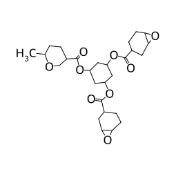 CC1CCC(C(=O)OC2CC(OC(=O)C3CCC4OC4C3)CC(OC(=O)C3CCC4OC4C3)C2)CO1